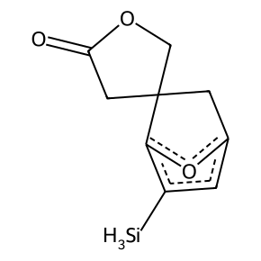 O=C1CC2(CO1)Cc1cc([SiH3])c2o1